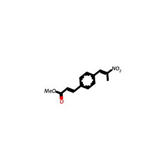 COC(=O)/C=C/c1ccc(/C=C(\C)[N+](=O)[O-])cc1